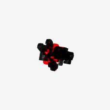 CCC(C)(CC(C)(CC(C)(CC(C)(CC(C)(C)C(=O)OC12CC3C4CC5CC3C(C1)C(C5)C4C2)C(=O)OC12CC3C4CC5CC3C(C1)C(C5)C4C2)C(=O)OC12CC3C4CC5CC3C(C1)C(C5)C4C2)C(=O)OC12CC3C4CC5CC3C(C1)C(C5)C4C2)C(=O)OC12CC3C4CC5CC3C(C1)C(C5)C4C2